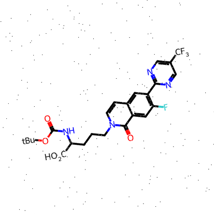 CC(C)(C)OC(=O)NC(CCCn1ccc2cc(-c3ncc(C(F)(F)F)cn3)c(F)cc2c1=O)C(=O)O